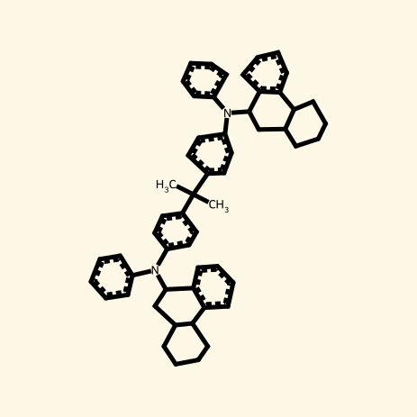 CC(C)(c1ccc(N(c2ccccc2)C2CC3CCCCC3c3ccccc32)cc1)c1ccc(N(c2ccccc2)C2CC3CCCCC3c3ccccc32)cc1